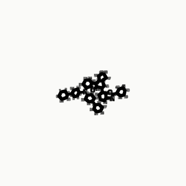 c1ccc(-c2ccc(N(c3ccc(-c4ccccc4)cc3)c3cccc4c3oc3c(-c5cccc6nc(-c7ccccc7)oc56)cc5ccccc5c34)cc2)cc1